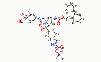 Cc1cc(NC(=O)[C@@H]2C[C@H](NC(=O)OCC3c4ccccc4-c4ccccc43)CN2C(=O)C2CCC(CNC(=O)OC(C)(C)C)CC2)ccc1C(=O)O